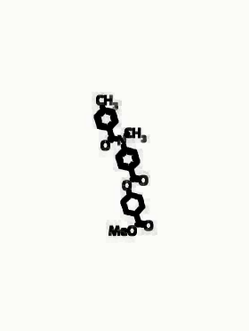 COC(=O)C1CCC(OC(=O)c2ccc(N(C)C(=O)c3ccc(C)cc3)cc2)CC1